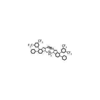 CCC(C)C1=Cc2c(ccc(-c3ccccc3)c2-c2cc(C(F)(F)F)cc(C(F)(F)F)c2)C1C[SiH2]CC1C(C(C)CC)=Cc2c1ccc(-c1ccccc1)c2-c1cc(C(F)(F)F)cc(C(F)(F)F)c1